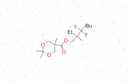 CCC(C)C(F)(F)C(C)(CC)COC(=O)C1(C)COC(C)(C)OC1